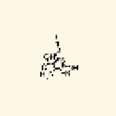 CC#CCCc1nc2[nH]ncc2c(N)c1C(=O)O